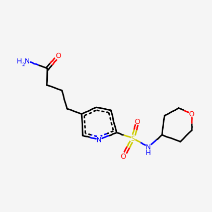 NC(=O)CCCc1ccc(S(=O)(=O)NC2CCOCC2)nc1